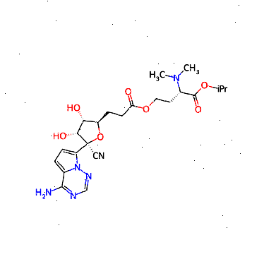 CC(C)OC(=O)[C@H](CCOC(=O)CC[C@H]1O[C@@](C#N)(c2ccc3c(N)ncnn23)[C@H](O)[C@@H]1O)N(C)C